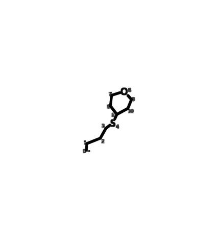 [CH2]CCCSC1CCOCC1